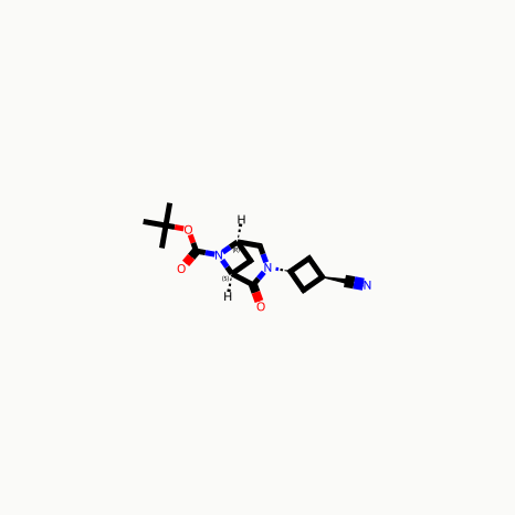 CC(C)(C)OC(=O)N1[C@@H]2C[C@H]1C(=O)N([C@H]1C[C@H](C#N)C1)C2